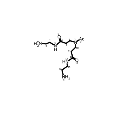 CC(=O)N(CCC(=O)NCCN)CCC(=O)NCCN